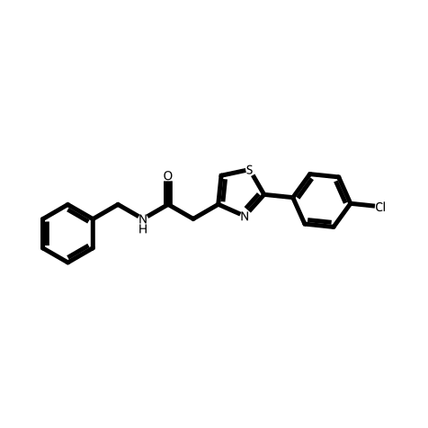 O=C(Cc1csc(-c2ccc(Cl)cc2)n1)NCc1ccccc1